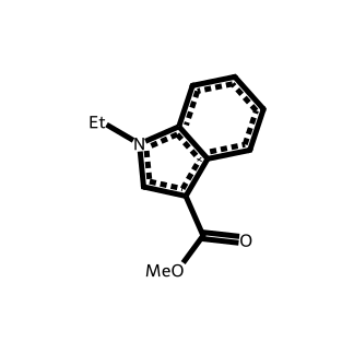 CCn1cc(C(=O)OC)c2ccccc21